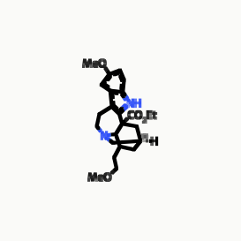 CCOC(=O)C12C[C@H]3CC(CCOC)C1N(CCc1c2[nH]c2ccc(OC)cc12)C3